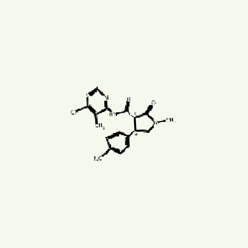 Cc1c(Cl)ncnc1NC(=O)[C@@H]1C(=O)N(C)C[C@H]1c1ccc(C(F)(F)F)cc1